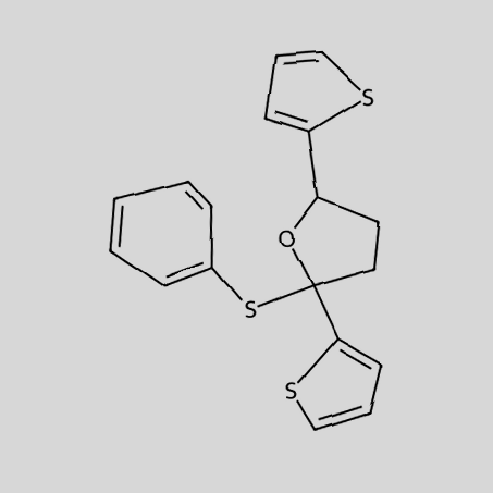 c1ccc(SC2(c3cccs3)CCC(c3cccs3)O2)cc1